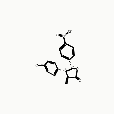 C=C1C(=O)O[C@@H](c2ccc([N+](=O)[O-])cc2)[C@H]1c1ccc(Cl)cc1